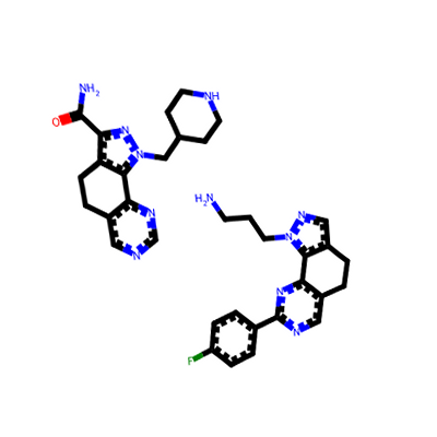 NC(=O)c1nn(CC2CCNCC2)c2c1CCc1cncnc1-2.NCCCn1ncc2c1-c1nc(-c3ccc(F)cc3)ncc1CC2